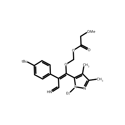 CCn1nc(C)c(C)c1/C(OCOC(=O)COC)=C(\C=N)c1ccc(C(C)(C)C)cc1